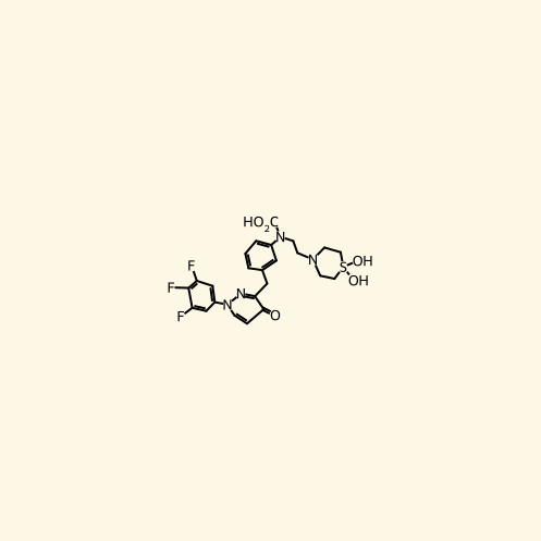 O=C(O)N(CCN1CCS(O)(O)CC1)c1cccc(Cc2nn(-c3cc(F)c(F)c(F)c3)ccc2=O)c1